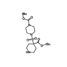 CC(C)(C)OC(=O)N1CCN(S(=O)(=O)C2(C(=O)OC(C)(C)C)CCNCC2)CC1